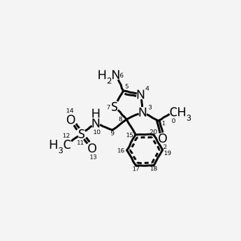 CC(=O)N1N=C(N)SC1(CNS(C)(=O)=O)c1ccccc1